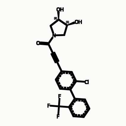 O=C(C#Cc1ccc(-c2ccccc2C(F)(F)F)c(Cl)c1)N1C[C@@H](O)[C@@H](O)C1